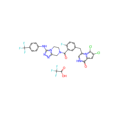 O=C(O)C(F)(F)F.O=C(c1cc(Cc2c[nH]c(=O)c3cc(Cl)c(Cl)n23)ccc1F)N1CCn2c(nnc2Nc2ccc(C(F)(F)F)cc2)C1